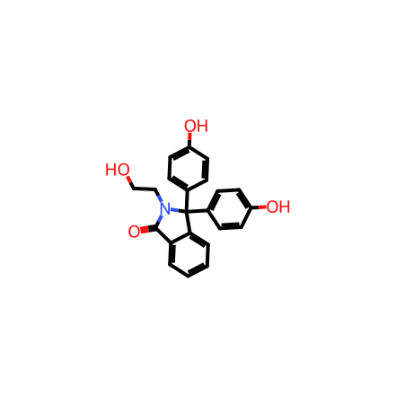 O=C1c2ccccc2C(c2ccc(O)cc2)(c2ccc(O)cc2)N1CCO